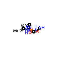 COc1cc(Nc2nc3c(nc2NS(=O)(=O)c2cccc(NC(=O)C4CNC4)c2)=CCCC=3)cc(OC)c1